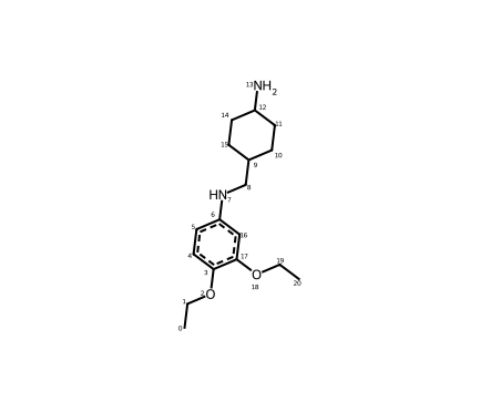 CCOc1ccc(NCC2CCC(N)CC2)cc1OCC